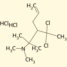 C=CCC(C(C)(Cl)Cl)C(C)(C)N(C)C.Cl.Cl